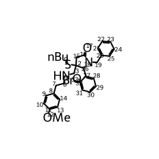 CCCCSC1(C(=O)NCCc2ccc(OC)cc2)CC(=O)N(Cc2ccccc2)C1c1ccccc1Br